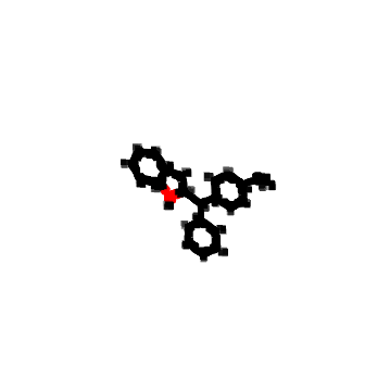 Cc1ccc(C(c2ccccc2)c2cc3ccccc3o2)cc1